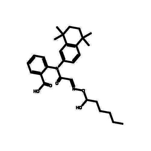 CCCCCC(O)ON=CC(=O)N(c1ccc2c(c1)C(C)(C)CCC2(C)C)c1ccccc1C(=O)O